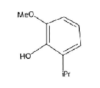 COc1cccc(C(C)C)c1O